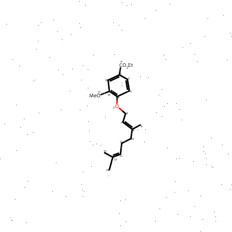 CCOC(=O)c1ccc(OC/C=C(\C)CCC=C(C)C)c(OC)c1